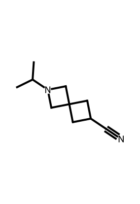 CC(C)N1CC2(CC(C#N)C2)C1